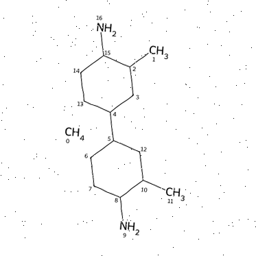 C.CC1CC(C2CCC(N)C(C)C2)CCC1N